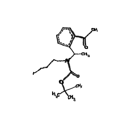 CC(c1ccccc1C(=O)O)N(CCCI)C(=O)OC(C)(C)C